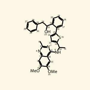 COc1cc2nc(C)nc(NC(C)c3ccc(-c4ccccc4C(O)Cc4ccccc4)s3)c2cc1OC